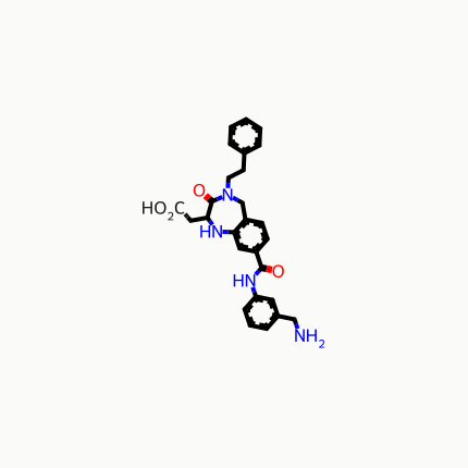 NCc1cccc(NC(=O)c2ccc3c(c2)NC(CC(=O)O)C(=O)N(CCc2ccccc2)C3)c1